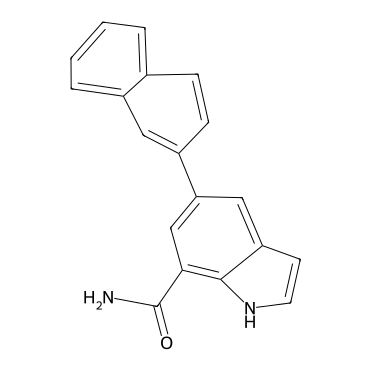 NC(=O)c1cc(-c2ccc3ccccc3c2)cc2cc[nH]c12